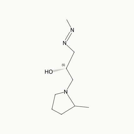 CN=NC[C@@H](O)CN1CCCC1C